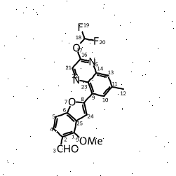 COc1c(C=O)ccc2oc(-c3cc(C)cc4nc(OC(F)F)cnc34)cc12